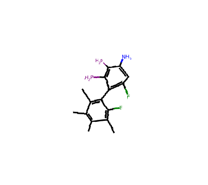 Cc1c(C)c(C)c(-c2c(F)cc(N)c(P)c2P)c(F)c1C